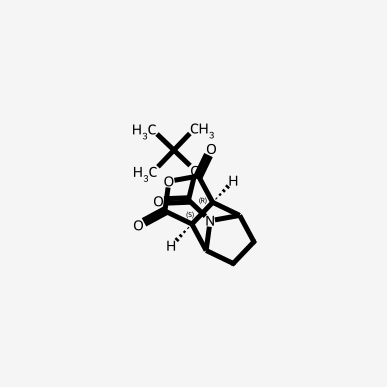 CC(C)(C)OC(=O)N1C2CCC1[C@@H]1C(=O)OC(=O)[C@H]21